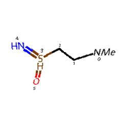 CNCC[SH](=N)=O